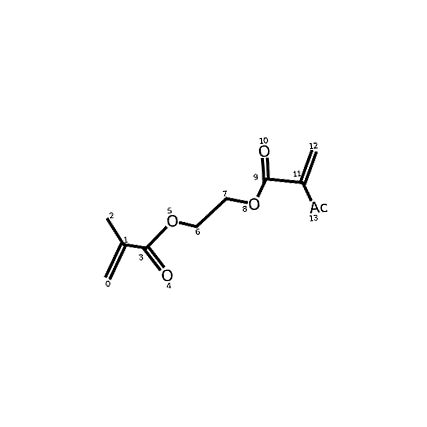 C=C(C)C(=O)OCCOC(=O)C(=C)C(C)=O